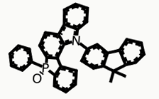 CC1(C)c2ccccc2-c2cc(-n3c4ccccc4c4ccc5c(c43)-c3ccccc3P5(=O)c3ccccc3)ccc21